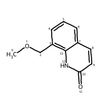 COCc1c[c]cc2ccc(=O)[nH]c12